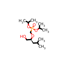 CC(C)C[C@@H](CO)OCP(=O)(OC(C)C)OC(C)C